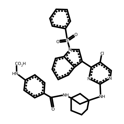 O=C(O)Nc1ccc(C(=O)NC23CCCC(Nc4ncc(Cl)c(-c5cn(S(=O)(=O)c6ccccc6)c6ccccc56)n4)(C2)C3)cc1